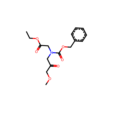 CCOC(=O)CN(CC(=O)COC)C(=O)OCc1ccccc1